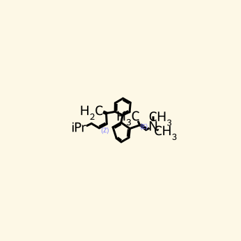 C=C(/C=C\CC(C)C)c1ccccc1-c1ccccc1/C(C)=C/N(C)C